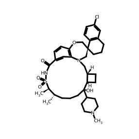 C[C@@H]1[C@@H](C)CCC[C@@](O)(C2CCN(C)CC2)[C@@H]2CC[C@H]2CN2C[C@@]3(CCCc4cc(Cl)ccc43)COc3ccc(cc32)C(=O)NS1(=O)=O